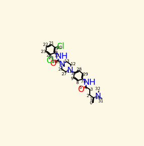 C=C(CCC(=O)Nc1ccc(N2CCN(C(=O)Nc3c(Cl)cccc3Cl)CC2)cc1)N(C)C